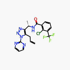 C=CCc1c([C@H](C)NC(=O)c2cccc(C(F)(F)F)c2Cl)nnn1-c1ncccn1